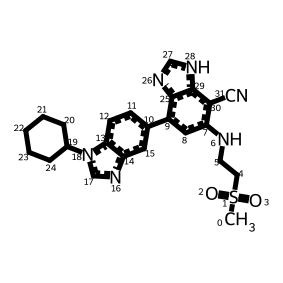 CS(=O)(=O)CCNc1cc(-c2ccc3c(c2)ncn3C2CCCCC2)c2nc[nH]c2c1C#N